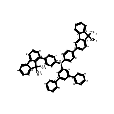 CC1(C)c2ccccc2-c2cc(-c3ccc(N(c4ccc(-c5cccc6c5C(C)(C)c5ccccc5-6)cc4)c4cc(-c5ccccc5)cc(-c5ccccc5)c4)cc3)ccc21